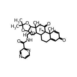 CC1(C)O[C@@H]2CC3C4CCC5=CC(=O)C=CC5(C)[C@@]4(F)C(=O)CC3(C)[C@]2(C(=O)CNC(=O)c2cnccn2)O1